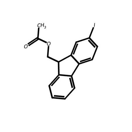 CC(=O)OCC1c2ccccc2-c2ccc(I)cc21